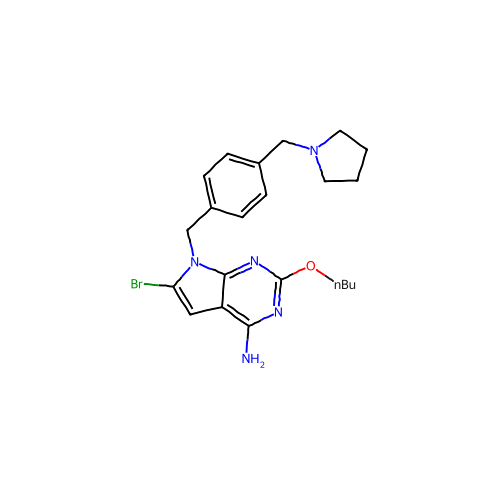 CCCCOc1nc(N)c2cc(Br)n(Cc3ccc(CN4CCCC4)cc3)c2n1